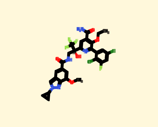 CCOc1c(C(N)=O)cc([C@@](O)(CNC(=O)c2cc(OC)c3nn(C4CC4)cc3c2)C(F)(F)F)nc1-c1cc(Cl)cc(F)c1Cl